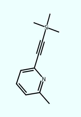 Cc1cccc(C#C[Si](C)(C)C)n1